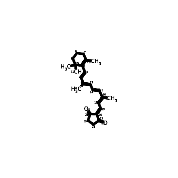 CC(C=CC1=C(C)CCCC1(C)C)=CC=CC(C)=CC=C1C(=O)CCC1=O